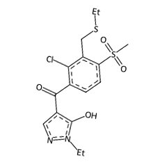 CCSCc1c(S(C)(=O)=O)ccc(C(=O)c2cnn(CC)c2O)c1Cl